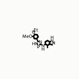 CCOc1ccc(C2N=C(Nc3ccc4[nH]ncc4c3C)N(C)N2)cc1OC